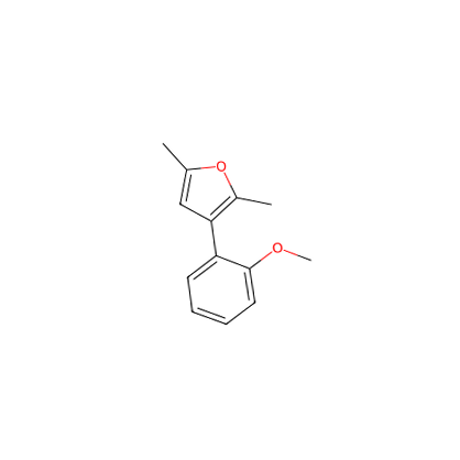 COc1ccccc1-c1cc(C)oc1C